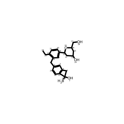 BC1(O)Cc2cc(Cc3cc(C4CC(O)CC(CO)O4)ccc3CC)ccc21